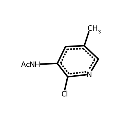 CC(=O)Nc1cc(C)cnc1Cl